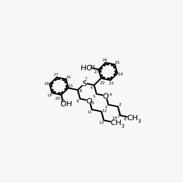 CCCCOCC(SC(COCCCC)c1ccccc1O)c1ccccc1O